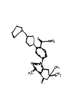 Cc1nn(-c2ccc(C(N)=O)c(N3CCC(N4CCCC4)CC3)c2)c2c1C(=O)CC(C)(C)C2